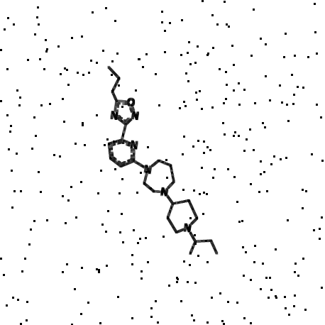 CCCc1nc(-c2cccc(N3CCCN(C4CCN(C(C)CC)CC4)CC3)n2)no1